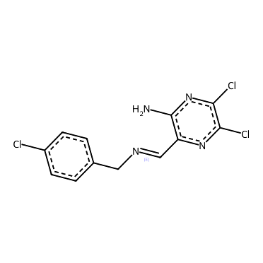 Nc1nc(Cl)c(Cl)nc1/C=N/Cc1ccc(Cl)cc1